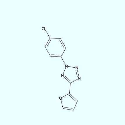 Clc1ccc(-n2nnc(-c3ccco3)n2)cc1